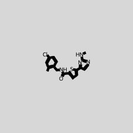 CNc1nccc(-c2ccc(C(=O)NCc3ccc(Cl)cc3C)s2)n1